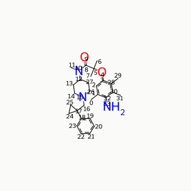 Cc1cc(OC(C)(C)C(=O)N(C)C2CCN(CC3(c4ccccc4)CC3)CC2)c(C)c(C)c1N